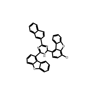 Clc1ccc(C2N=C(c3ccc4ccccc4c3)N=C(c3cccc4oc5ccccc5c34)N2)c2c1oc1ccccc12